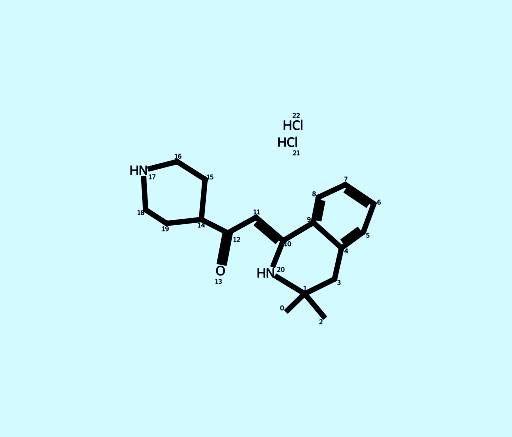 CC1(C)Cc2ccccc2/C(=C/C(=O)C2CCNCC2)N1.Cl.Cl